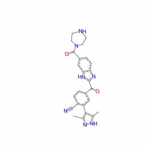 Cc1n[nH]c(C)c1-c1cc(C(=O)c2nc3ccc(C(=O)N4CCNCC4)cc3[nH]2)ccc1C#N